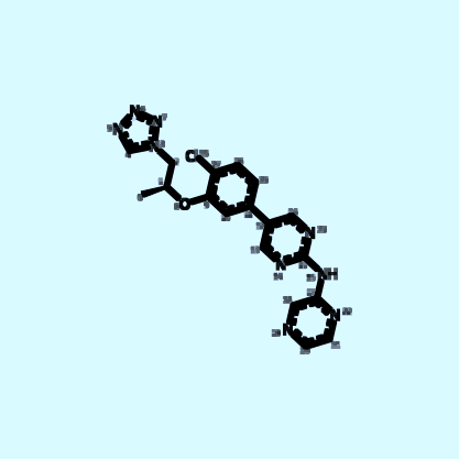 C[C@@H](Cn1cnnn1)Oc1cc(-c2cnc(Nc3cnccn3)nc2)ccc1Cl